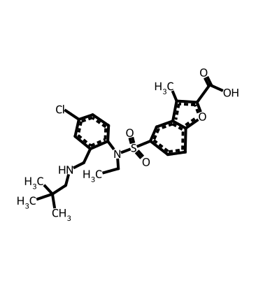 CCN(c1ccc(Cl)cc1CNCC(C)(C)C)S(=O)(=O)c1ccc2oc(C(=O)O)c(C)c2c1